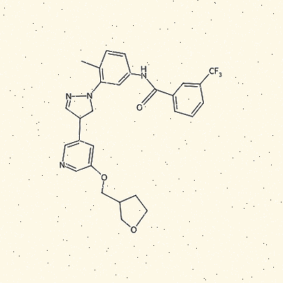 Cc1ccc(NC(=O)c2cccc(C(F)(F)F)c2)cc1N1CC(c2cncc(OCC3CCOC3)c2)C=N1